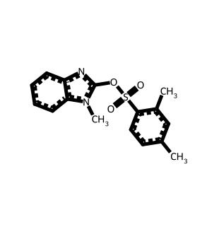 Cc1ccc(S(=O)(=O)Oc2nc3ccccc3n2C)c(C)c1